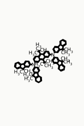 CC(C)(C)c1c2ccc(N(c3ccc4c(c3)C(C)(C)C3=C4C=CCC3)c3ccc4c(c3)C(C)(C)c3ccccc3-4)cc2c(C(C)(C)C)c2cc(N(c3ccc4c(c3)C(C)(C)c3ccccc3-4)c3ccc4c(c3)C(C)(C)c3ccccc3-4)ccc12